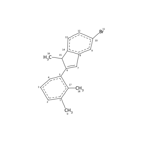 Cc1cccc(C2=Cc3cc(Br)ccc3C2C)c1C